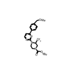 COCc1ccc(-c2ccnc(N3CCN(C(=O)OC(C)(C)C)CC3C(F)(F)F)n2)cc1